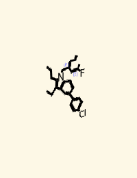 C=C/C=C(\C=C(/C)F)Cn1c(CCC)c(CC)c2cc(-c3ccc(Cl)cc3)ccc21